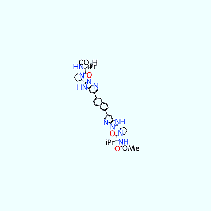 COC(=O)N[C@H](C(=O)N1CCC[C@H]1c1nc2ncc(-c3ccc4cc(-c5cnc6nc([C@@H]7CCCN7C(=O)[C@@H](NC(=O)O)C(C)C)[nH]c6c5)ccc4c3)cc2[nH]1)C(C)C